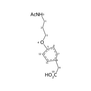 CC(=O)NCCCOc1ccc(CC(=O)O)cc1